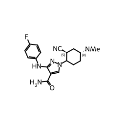 CN[C@@H]1CCC(n2cc(C(N)=O)c(Nc3ccc(F)cc3)n2)[C@@H](C#N)C1